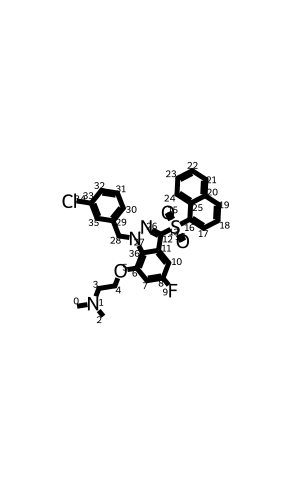 CN(C)CCOc1cc(F)cc2c(S(=O)(=O)c3cccc4ccccc34)nn(Cc3cccc(Cl)c3)c12